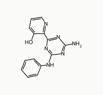 Nc1nc(Nc2ccccc2)nc(-c2ncccc2O)n1